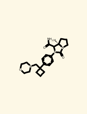 NC(=O)C1[C@H]2[CH]CCN2C(=O)N1c1ccc(C2(CN3CCOCC3)CCC2)cc1